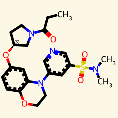 CCC(=O)N1CC[C@H](Oc2ccc3c(c2)N(c2cncc(S(=O)(=O)N(C)C)c2)CCO3)C1